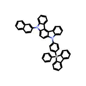 c1ccc([Si]2(c3ccc(-n4c5ccccc5c5c6c7ccccc7n(-c7ccc8ccccc8c7)c6ccc54)cc3)c3ccccc3-c3ccccc32)cc1